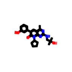 Cc1nc(NCC(C)(C)O)nc2c1cc(-c1cccc(O)c1)c(=O)n2C1CCCC1